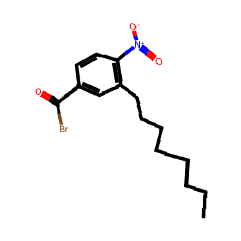 CCCCCCCCc1cc(C(=O)Br)ccc1[N+](=O)[O-]